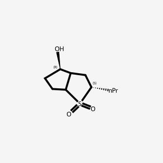 CCC[C@H]1CC2C(CC[C@H]2O)S1(=O)=O